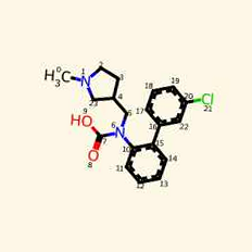 CN1CCC(CN(C(=O)O)c2ccccc2-c2cccc(Cl)c2)C1